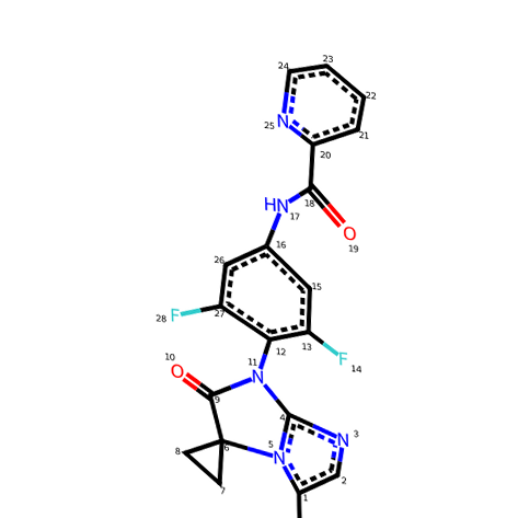 Cc1cnc2n1C1(CC1)C(=O)N2c1c(F)cc(NC(=O)c2ccccn2)cc1F